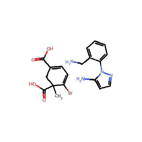 CC1(C(=O)O)CC(C(=O)O)=CC=C1Br.NCc1ccccc1-n1nccc1N